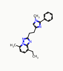 CCc1ccc(C)n2nc(CCc3cn(C)c(-c4ccccc4)n3)nc12